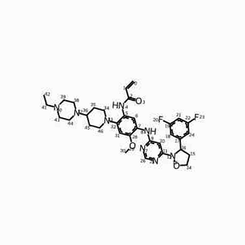 C=CC(=O)Nc1cc(Nc2cc(N3OCCC3c3cc(F)cc(F)c3)ncn2)c(OC)cc1N1CCC(N2CCN(CC)CC2)CC1